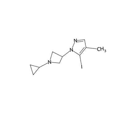 Cc1cnn(C2CN(C3CC3)C2)c1I